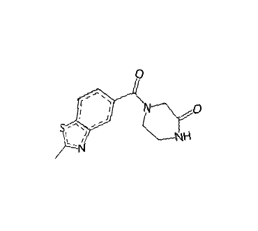 Cc1nc2cc(C(=O)N3CCNC(=O)C3)ccc2s1